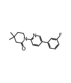 CC1(C)CCN(c2ccc(-c3cccc(F)c3)cn2)C(=O)C1